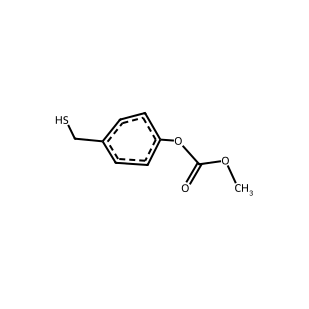 COC(=O)Oc1ccc(CS)cc1